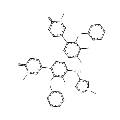 Cn1cc(-c2ccc(N)c([N+](=O)[O-])c2Oc2ccccc2)ccc1=O.Cn1cc(Nc2ccc(-c3ccc(=O)n(C)c3)c(Oc3ccccc3)c2[N+](=O)[O-])cn1